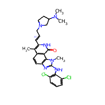 Cc1c(/C=C/CN2CCC(N(C)C)C2)[nH]c(=O)c2c1ccc1nc(Nc3c(Cl)cccc3Cl)n(C)c12